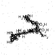 NCCCC[C@@H](NC(=O)[C@H](CCCN(N)/C=C(\N)CCOC(=O)NCCNC(=S)Nc1ccc2c(c1)C(=O)OC21c2ccc(O)cc2Oc2cc(O)ccc21)NC(=O)CC[C@H](NC(=O)c1ccc(NCc2cnc3nc(N)nc(O)c3n2)cc1)C(=O)O)C(=O)O